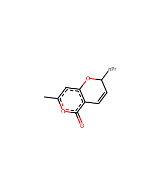 CCCC1C=Cc2c(cc(C)oc2=O)O1